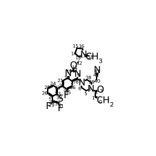 C=CC(=O)N1CCN(c2nc(OC[C@@H]3CCCN3C)nc3cc(-c4cccc5c(F)c(F)sc45)c(F)cc23)C[C@@H]1CC#N